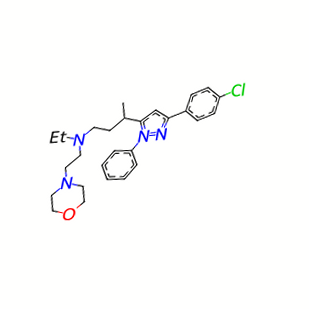 CCN(CCC(C)c1cc(-c2ccc(Cl)cc2)nn1-c1ccccc1)CCN1CCOCC1